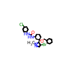 Cn1ncc(Br)c1C1(OCc2ccccc2)C=CC=C(NC(=O)Nc2ccc(Cl)cc2)C1